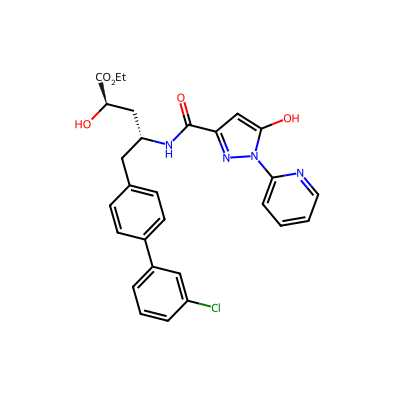 CCOC(=O)[C@H](O)C[C@@H](Cc1ccc(-c2cccc(Cl)c2)cc1)NC(=O)c1cc(O)n(-c2ccccn2)n1